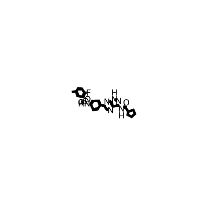 Cc1ccc(F)c(S(=O)(=O)Nc2ccc(-c3cnc4c(NC(=O)C5CCCC5)n[nH]c4n3)cc2)c1